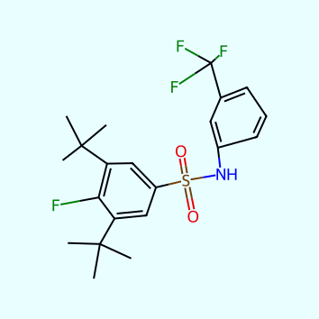 CC(C)(C)c1cc(S(=O)(=O)Nc2cccc(C(F)(F)F)c2)cc(C(C)(C)C)c1F